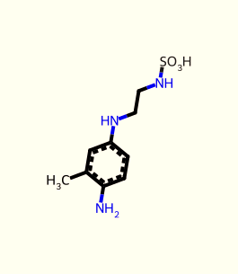 Cc1cc(NCCNS(=O)(=O)O)ccc1N